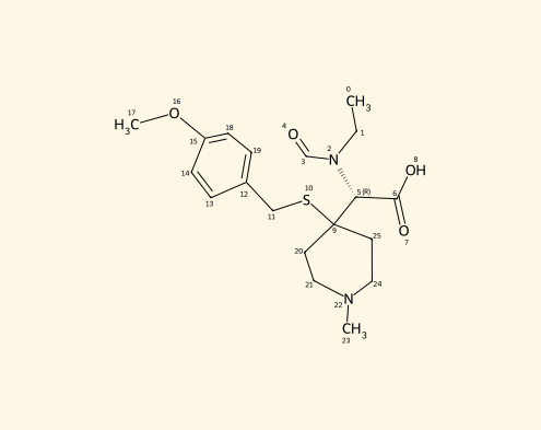 CCN(C=O)[C@H](C(=O)O)C1(SCc2ccc(OC)cc2)CCN(C)CC1